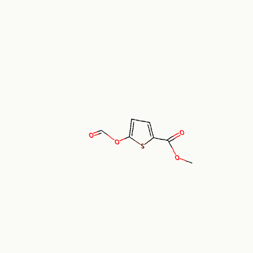 COC(=O)c1ccc(OC=O)s1